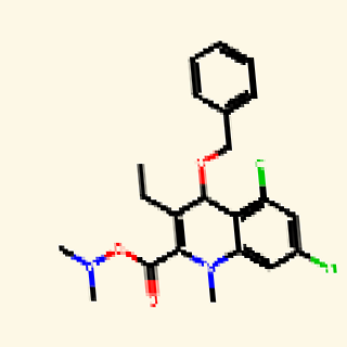 CCC1=C(C(=O)ON(C)C)N(C)c2cc(Cl)cc(Cl)c2C1OCc1ccccc1